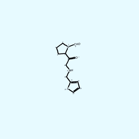 O=CN1CCCC1C(=O)CNCc1cccs1